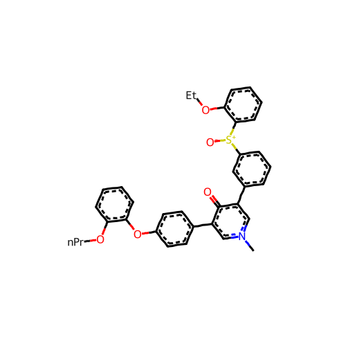 CCCOc1ccccc1Oc1ccc(-c2cn(C)cc(-c3cccc([S+]([O-])c4ccccc4OCC)c3)c2=O)cc1